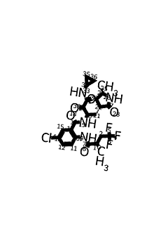 CC(CC(F)(F)F)C(=O)Nc1ccc(Cl)cc1C(=O)NC(C[C@@H]1C[C@@H](C)NC1=O)C(=O)C(=O)NC1CC1